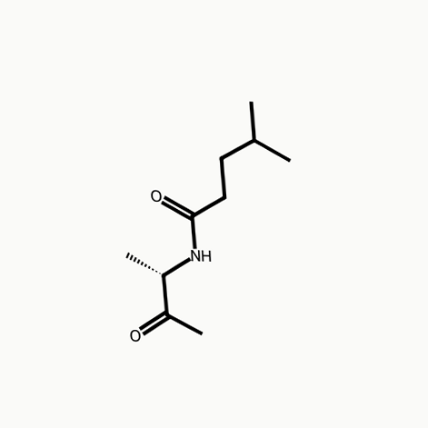 CC(=O)[C@H](C)NC(=O)CCC(C)C